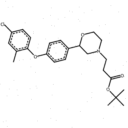 Cc1cc(Cl)ccc1Oc1ccc(C2CN(CCC(=O)OC(C)(C)C)CCO2)cc1